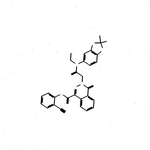 CCN(C(=O)Cn1nc(C(=O)Nc2ccccc2C#N)c2ccccc2c1=O)c1ccc2c(c1)OC(C)(F)O2